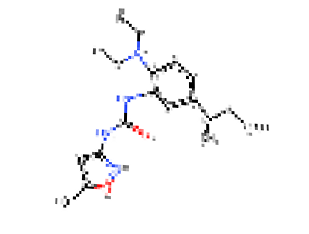 Cc1cc(NC(=O)Nc2cc([C@H](C)CC(=O)O)ccc2N(CC(C)C)CC(C)C)no1